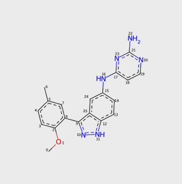 COc1ccc(C)cc1-c1n[nH]c2ccc(Nc3ccnc(N)n3)cc12